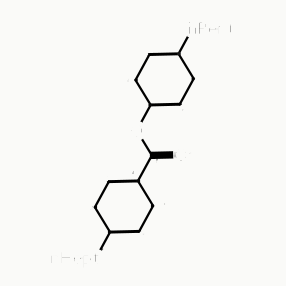 CCCCCCCC1CCC(C(=O)OC2CCC(CCCCC)CC2)CC1